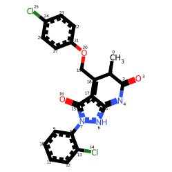 CC1C(=O)N=c2[nH]n(-c3ccccc3Cl)c(=O)c2=C1COc1ccc(Cl)cc1